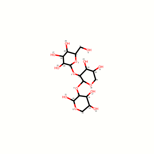 OCC1OC(OC2C(OC3C(O)OCC(O)C3O)OCC(O)C2O)C(O)C(O)C1O